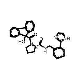 O=C(NCc1ccccc1-c1ncc[nH]1)[C@@H]1CCCN1C(=O)C1(O)c2ccccc2-c2ccccc21